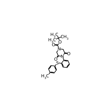 Cc1ccc(Sc2ccccc2N2C(=O)CN(C(=O)OC(C)(C)C)CC2=O)cc1